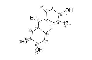 CCC(C1CC(C(C)(C)C)C(O)CC1C)C1CC(C(C)(C)C)C(O)CC1C